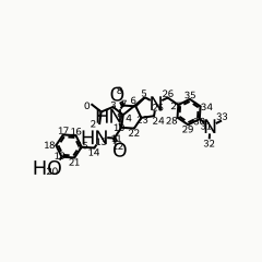 CC(C)CC1C2C3C(=O)NC1(C(=O)NCc1cccc(O)c1)CC3CN2Cc1ccc(N(C)C)cc1